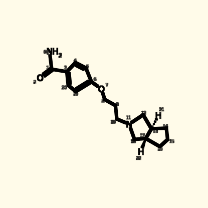 NC(=O)c1ccc(OCCCN2C[C@H]3CCC[C@@H]3C2)cc1